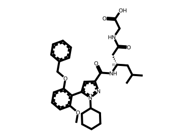 COc1cccc(OCc2ccccc2)c1-c1cc(C(=O)N[C@H](CC(=O)NCC(=O)O)CC(C)C)nn1C1CCCCC1